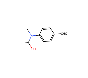 CC(O)N(C)c1ccc(C=O)cc1